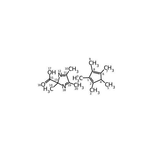 CC1=C(C)C(C)C(C)=C1C.CC1=NC(C)(C(=O)O)N=C1C